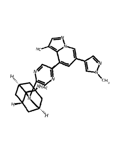 CC(=O)N[C@]12C[C@@H]3C[C@H](C1)N(c1cnc(-c4cc(-c5cnn(C)c5)cn5ncc(C#N)c45)cn1)[C@@H](C3)C2